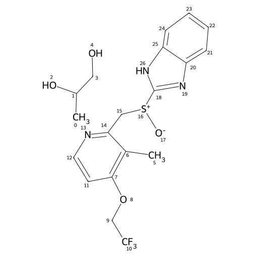 CC(O)CO.Cc1c(OCC(F)(F)F)ccnc1C[S+]([O-])c1nc2ccccc2[nH]1